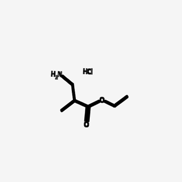 CCOC(=O)C(C)CN.Cl